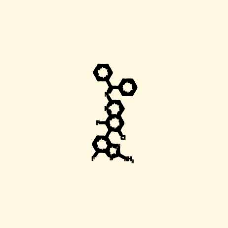 Nc1nc2c(-c3c(Cl)cc4ccc(N=C(c5ccccc5)c5ccccc5)nc4c3F)ccc(F)c2s1